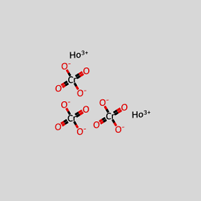 [Ho+3].[Ho+3].[O]=[Cr](=[O])([O-])[O-].[O]=[Cr](=[O])([O-])[O-].[O]=[Cr](=[O])([O-])[O-]